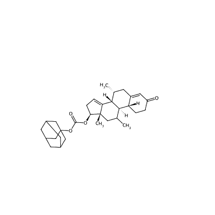 CC1C[C@@]2(C)C(=CC[C@@H]2OC(=O)OC23CC4CC(CC(C4)C2)C3)[C@H]2[C@H]1[C@H]1CCC(=O)C=C1C[C@H]2C